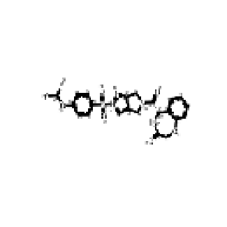 O=C1COc2ccccc2[C@@H](C(=O)N2Cc3cn(S(=O)(=O)c4ccc(OC(F)F)cc4)nc3C2)N1